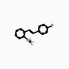 [C-]#[N+]c1ccccc1C=Cc1ccc(F)cc1